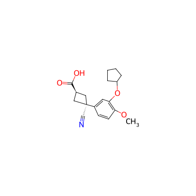 COc1ccc([C@]2(C#N)C[C@H](C(=O)O)C2)cc1OC1CCCC1